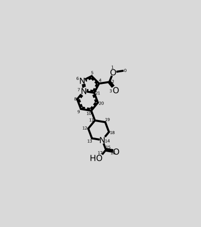 COC(=O)c1cnn2ccc(C3CCN(C(=O)O)CC3)cc12